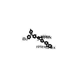 CCCCCCC1(CCCCCC)c2cc(C)ccc2-c2ccc(-c3ccc4c(c3)C(CCCCCC)(CCCCCC)c3cc(-c5ccc(N(c6ccc(C)cc6)c6ccc(C(C)CC)cc6)cc5)sc3-4)cc21